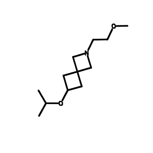 COCCN1CC2(CC(OC(C)C)C2)C1